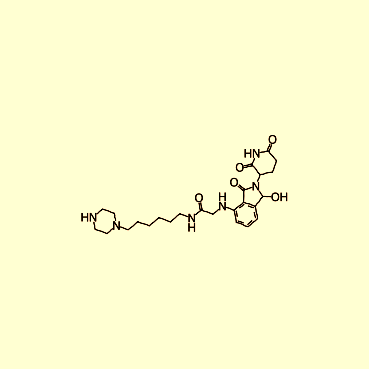 O=C(CNc1cccc2c1C(=O)N(C1CCC(=O)NC1=O)C2O)NCCCCCCN1CCNCC1